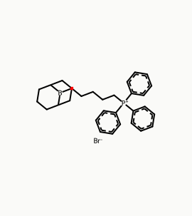 [Br-].c1ccc([P+](CCCCCB2C3CCCC2CCC3)(c2ccccc2)c2ccccc2)cc1